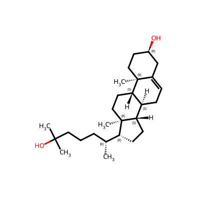 C[C@H](CCCC(C)(C)O)[C@H]1CC[C@H]2[C@@H]3CC=C4C[C@H](O)CC[C@]4(C)[C@H]3CC[C@]12C